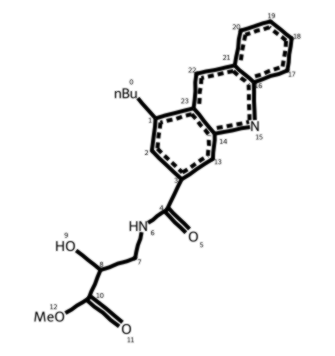 CCCCc1cc(C(=O)NCC(O)C(=O)OC)cc2nc3ccccc3cc12